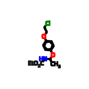 CCOC(=O)NC(C)Oc1ccc(OCCCl)cc1